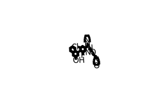 Oc1cc(-c2c(Cl)cc3c(N4CC5CCC(C4)N5)nc(OCCN4C5CCC4COC5)nc3c2F)c2ccccc2c1